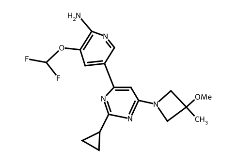 COC1(C)CN(c2cc(-c3cnc(N)c(OC(F)F)c3)nc(C3CC3)n2)C1